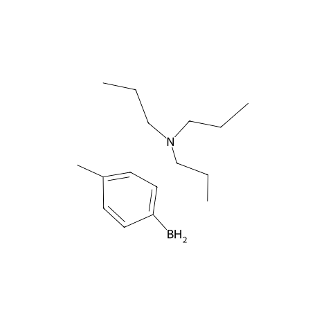 Bc1ccc(C)cc1.CCCN(CCC)CCC